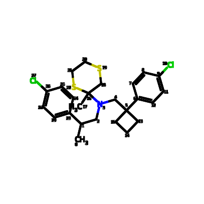 CC(CN(CC1(c2ccc(Cl)cc2)CCC1)C1(C)CSCCS1)c1ccc(Cl)cc1